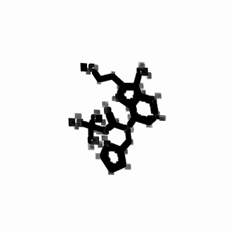 CCCc1sc2c(N(Cc3ccco3)C(=O)OC(C)(C)C)cnnc2c1C